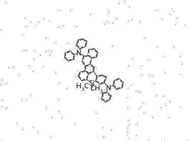 C[Si]1(C)c2cc(N(c3ccccc3)c3ccccc3)ccc2-c2cc3c4ccccc4c(N(c4ccccc4)c4ccccc4)cc3c3cccc1c23